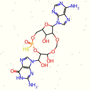 Nc1nc2c(ncn2C(O)C2OP(=O)(S)OCC3OC(n4cnc5c(N)ncnc54)C(OCOC2O)C3O)c(=O)[nH]1